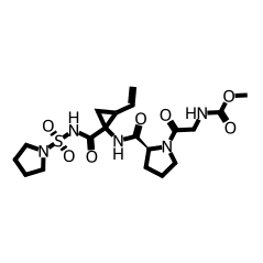 C=CC1CC1(NC(=O)[C@@H]1CCCN1C(=O)CNC(=O)OC)C(=O)NS(=O)(=O)N1CCCC1